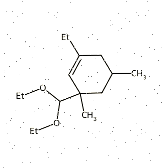 CCOC(OCC)C1(C)C=C(CC)CC(C)C1